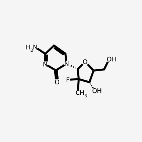 CC1(F)[C@@H](O)C(CO)O[C@H]1n1ccc(N)nc1=O